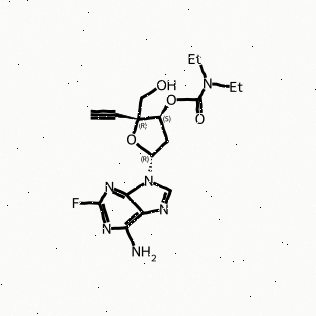 C#C[C@]1(CO)O[C@@H](n2cnc3c(N)nc(F)nc32)C[C@@H]1OC(=O)N(CC)CC